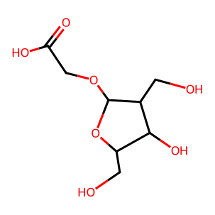 O=C(O)COC1OC(CO)C(O)C1CO